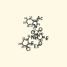 CCO[C@H]1C[N+](C(=O)Cn2cc(C(C)=O)c3ccccc32)(C(=O)NCc2cccc(Cl)c2F)C[C@@H]1F